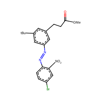 COC(=O)CCc1cc(N=Nc2ccc(Br)cc2[N+](=O)[O-])[c]c(C(C)(C)C)c1